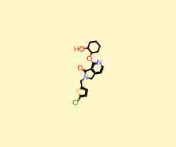 O=C1c2c(ccnc2OC2CCCCC2O)CN1Cc1ccc(Cl)s1